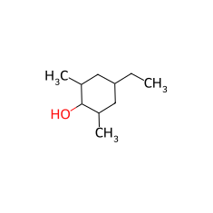 CCC1CC(C)C(O)C(C)C1